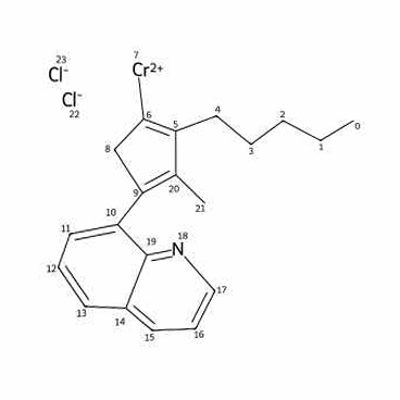 CCCCCC1=[C]([Cr+2])CC(c2cccc3cccnc23)=C1C.[Cl-].[Cl-]